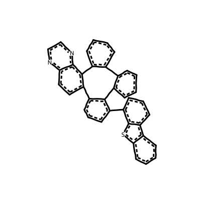 c1ccc2c(c1)-c1ccccc1-c1c(ccc3nccnc13)-c1cccc(-c3cccc4c3sc3ccccc34)c1-2